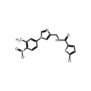 Cc1cc(-n2cnc(CNC(=O)c3ccc(Cl)s3)c2)ccc1[N+](=O)[O-]